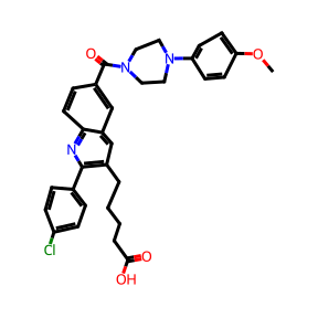 COc1ccc(N2CCN(C(=O)c3ccc4nc(-c5ccc(Cl)cc5)c(CCCCC(=O)O)cc4c3)CC2)cc1